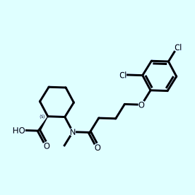 CN(C(=O)CCCOc1ccc(Cl)cc1Cl)C1CCCC[C@@H]1C(=O)O